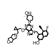 C#Cc1c(F)ccc2cc(O)cc(Cn3cnc4c(OCC5(CN6CC7COCC7C6)CC5)nc(N5CCC[C@](C)(O)C5)nc43)c12